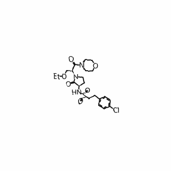 CCOC[C@@H](C(=O)N1CCOCC1)N1CCC(NS(=O)(=O)CCc2ccc(Cl)cc2)C1=O